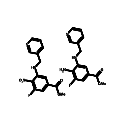 COC(=O)c1cc(F)c(N)c(NCc2cccnc2)c1.COC(=O)c1cc(F)c([N+](=O)[O-])c(NCc2cccnc2)c1